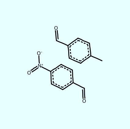 Cc1ccc(C=O)cc1.O=Cc1ccc([N+](=O)[O-])cc1